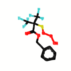 O=C(OCc1ccccc1)C(SOOO)(C(F)(F)F)C(F)(F)F